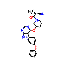 C=C(C#N)C(=O)N1CCC[C@@H](Oc2ncnc(N)c2-c2ccc(Oc3ccccc3)cc2)C1